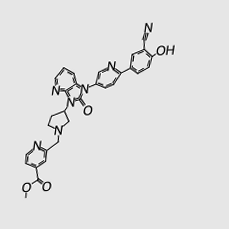 COC(=O)c1ccnc(CN2CCC(n3c(=O)n(-c4ccc(-c5ccc(O)c(C#N)c5)nc4)c4cccnc43)C2)c1